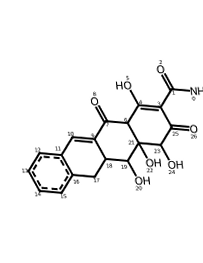 NC(=O)C1=C(O)C2C(=O)C3=Cc4ccccc4CC3C(O)C2(O)C(O)C1=O